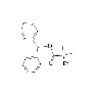 CCC(C)(C)C(=O)OC(c1ccccc1)c1ccccc1